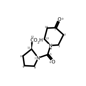 O=C1CCN(C(=O)N2CCC[C@H]2C(=O)O)CC1